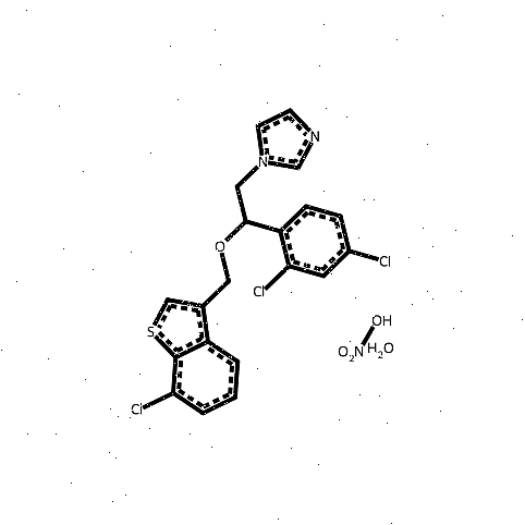 Clc1ccc(C(Cn2ccnc2)OCc2csc3c(Cl)cccc23)c(Cl)c1.O.O=[N+]([O-])O